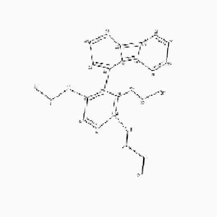 CCCCc1ccc(CCC)c(-c2cccc3c2=c2ccccc2=3)c1CCC